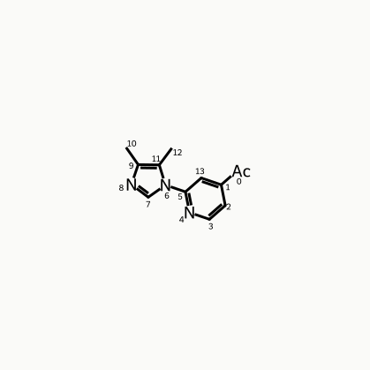 CC(=O)c1ccnc(-n2cnc(C)c2C)c1